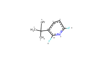 CCCC(C)(C)c1ccc(F)nc1F